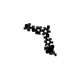 CS(=O)(=O)NC(=O)c1ccc(COc2cc(F)cc(-c3ccc(OCC4CCOC4)nc3)c2)cc1